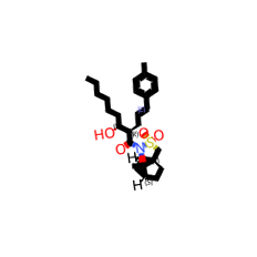 CCCCCC[C@@H](O)[C@@H](C/C=C/c1ccc(C)cc1)C(=O)N1[C@H]2C[C@@H]3CC[C@@]2(CS1(=O)=O)C3(C)C